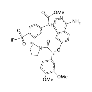 COC(=O)Nc1ccc(S(=O)(=O)C(C)C)c([C@H]2CCCN2C(=O)[C@H](Oc2ccc3c(N)nccc3c2)c2ccc(OC)c(OC)c2)c1